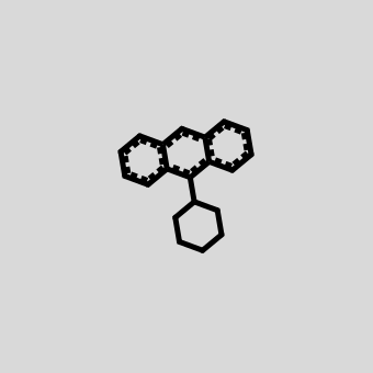 c1ccc2c(C3CCCCC3)c3ccccc3cc2c1